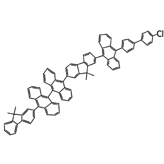 CC1(C)c2ccccc2-c2ccc(-c3c4ccccc4c(-c4c5ccccc5c(-c5ccc6c(c5)C(C)(C)c5cc(-c7c8ccccc8c(-c8ccc(-c9ccc(Cl)cc9)cc8)c8ccccc78)ccc5-6)c5ccccc45)c4ccccc34)cc21